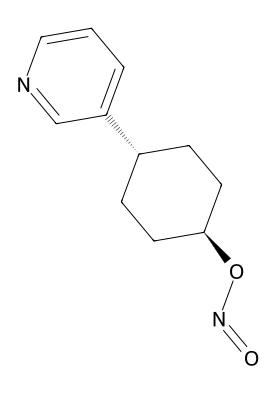 O=NO[C@H]1CC[C@H](c2cccnc2)CC1